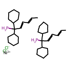 CC=CC=CC(P)(C1CCCCC1)C1CCCCC1.CC=CC=CC(P)(C1CCCCC1)C1CCCCC1.[Cl-].[Cl-].[Ni+2]